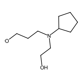 [O]CCCN(CCO)C1CCCC1